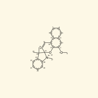 COc1cc2ccccc2c2c1OC1(C=C2)N(C)c2ccccc2C1(C)C